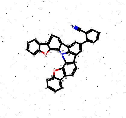 N#Cc1ccccc1-c1cc2c3ccc4c5ccccc5oc4c3n3c2c(c1)c1ccc2c4ccccc4oc2c13